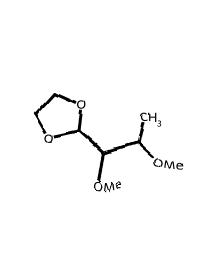 COC(C)C(OC)C1OCCO1